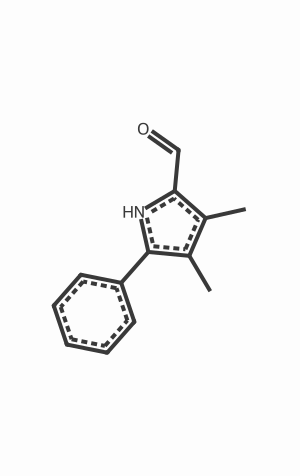 Cc1c(C=O)[nH]c(-c2ccccc2)c1C